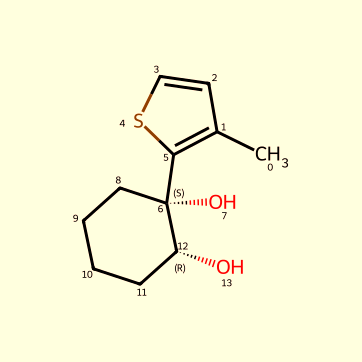 Cc1ccsc1[C@]1(O)CCCC[C@H]1O